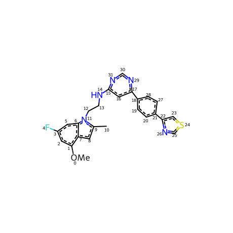 COc1cc(F)cc2c1cc(C)n2CCNc1cc(-c2ccc(-c3cscn3)cc2)ncn1